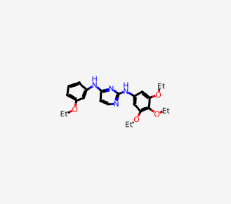 CCOc1cccc(Nc2ccnc(Nc3cc(OCC)c(OCC)c(OCC)c3)n2)c1